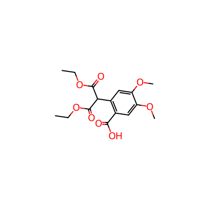 CCOC(=O)C(C(=O)OCC)c1cc(OC)c(OC)cc1C(=O)O